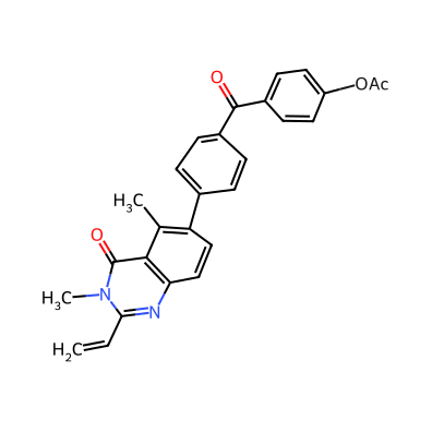 C=Cc1nc2ccc(-c3ccc(C(=O)c4ccc(OC(C)=O)cc4)cc3)c(C)c2c(=O)n1C